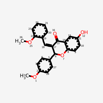 COc1ccc(C2Oc3ccc(O)cc3C(=O)C2=Cc2ccccc2OC)cc1